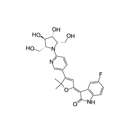 CC1(C)OC(=C2C(=O)Nc3ccc(F)cc32)C=C1c1ccc(N2[C@H](CO)[C@@H](O)[C@H](O)[C@@H]2CO)nc1